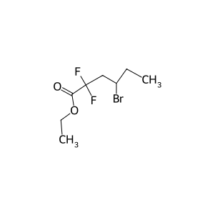 CCOC(=O)C(F)(F)CC(Br)CC